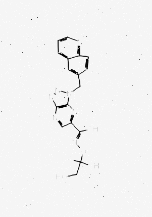 C/C(=N\OC(C)(C)CO)c1cnc2nnn(Cc3ccc4ncccc4c3)c2n1